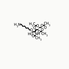 CC(=O)N/C(=C(/OC(C)=O)[C@H](CCOC(C)=O)OC(C)=O)[C@@H](O)OCCCCCCN